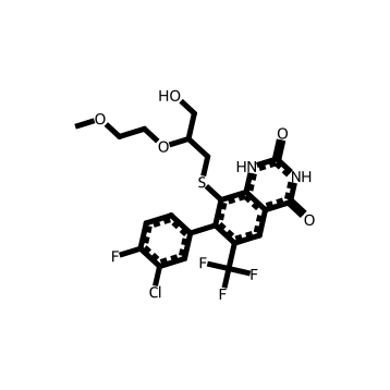 COCCOC(CO)CSc1c(-c2ccc(F)c(Cl)c2)c(C(F)(F)F)cc2c(=O)[nH]c(=O)[nH]c12